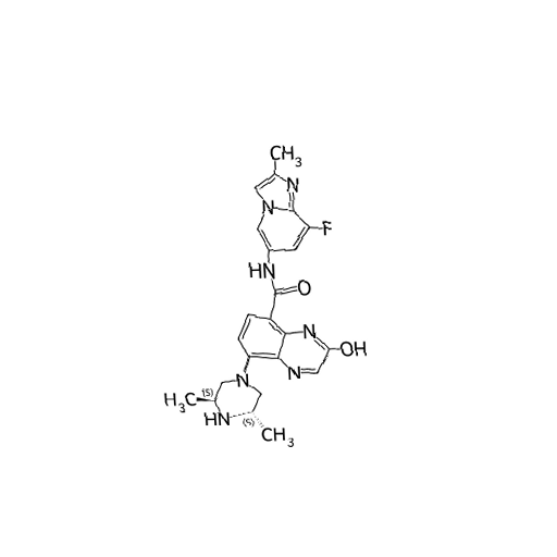 Cc1cn2cc(NC(=O)c3ccc(N4C[C@H](C)N[C@@H](C)C4)c4ncc(O)nc34)cc(F)c2n1